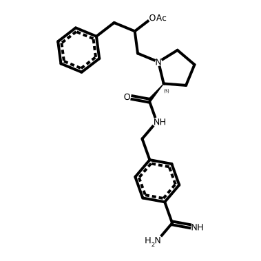 CC(=O)OC(Cc1ccccc1)CN1CCC[C@H]1C(=O)NCc1ccc(C(=N)N)cc1